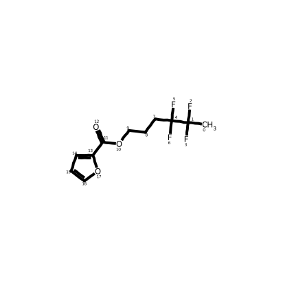 CC(F)(F)C(F)(F)CCCOC(=O)c1ccco1